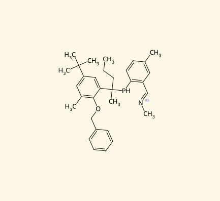 CCCC(C)(Pc1ccc(C)cc1/C=N/C)c1cc(C(C)(C)C)cc(C)c1OCc1ccccc1